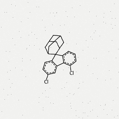 Clc1ccc2c(c1)-c1c(Cl)cccc1C21C2CC3CC(C2)CC1C3